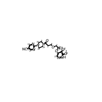 CC[C@@H](COCCC(=O)N1CCN(c2ncc(C#N)cn2)CC1)Oc1cn[nH]c(=O)c1C(F)(F)F